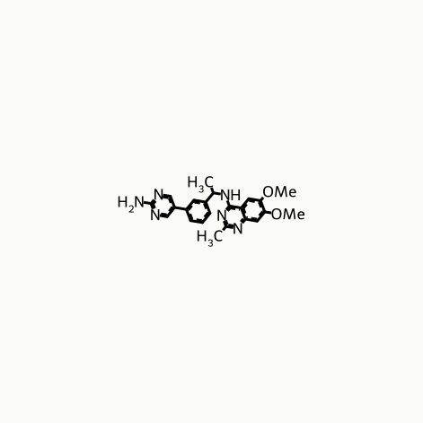 COc1cc2nc(C)nc(NC(C)c3cccc(-c4cnc(N)nc4)c3)c2cc1OC